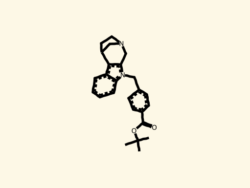 CC(C)(C)OC(=O)c1ccc(Cn2c3c(c4ccccc42)C2CCN(C3)C2)cc1